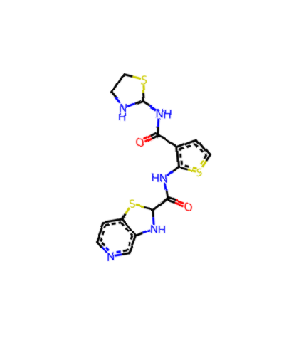 O=C(NC1NCCS1)c1ccsc1NC(=O)C1Nc2cnccc2S1